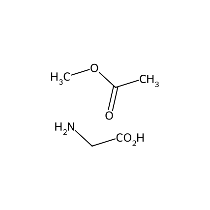 COC(C)=O.NCC(=O)O